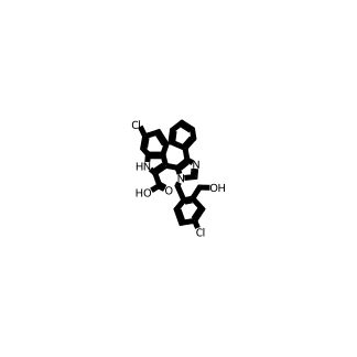 O=C(O)c1[nH]c2cc(Cl)ccc2c1-c1c(-c2ccccc2)ncn1Cc1ccc(Cl)cc1CO